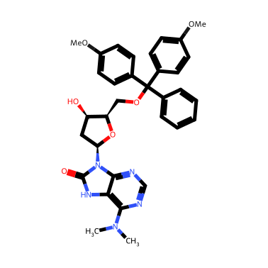 COc1ccc(C(OC[C@H]2O[C@@H](n3c(=O)[nH]c4c(N(C)C)ncnc43)C[C@H]2O)(c2ccccc2)c2ccc(OC)cc2)cc1